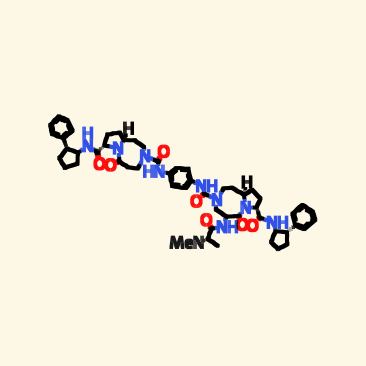 CN[C@@H](C)C(=O)N[C@H]1CN(C(=O)Nc2ccc(NC(=O)N3CCC(=O)N4[C@H](CC[C@H]4C(=O)N[C@H]4CCC[C@H]4c4ccccc4)CC3)cc2)CC[C@H]2CC[C@@H](C(=O)N[C@H]3CCC[C@H]3c3ccccc3)N2C1=O